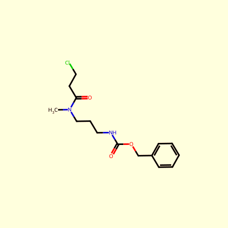 CN(CCCNC(=O)OCc1ccccc1)C(=O)CCCl